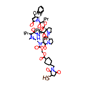 COC1=CC(=O)N(C(=O)[C@@H](OC(=O)[C@]2(C(=O)[C@@H](NC(=O)[C@H](C(C)C)N(C)C)C(C)C)CCCN2C(=O)[C@@H]2CCCN2C(=O)[C@H](C(C)C)N(C)C(=O)OCOC(=O)C2CCC(CN3C(=O)CC(S)C3=O)CC2)C(C)C)[C@H]1Cc1ccccc1